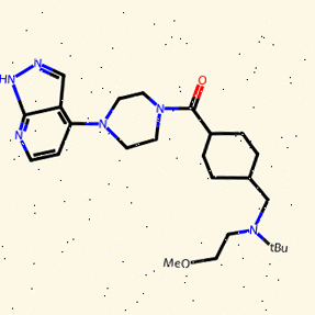 COCCN(CC1CCC(C(=O)N2CCN(c3ccnc4[nH]ncc34)CC2)CC1)C(C)(C)C